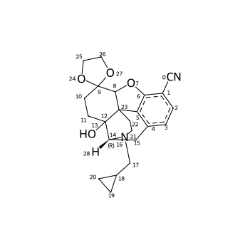 N#Cc1ccc2c3c1OC1C4(CCC5(O)[C@@H](C2)N(CC2CC2)CCC315)OCCO4